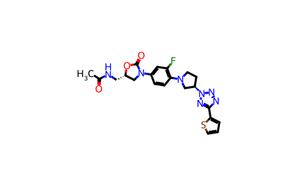 CC(=O)NC[C@H]1CN(c2ccc(N3CC[C@@H](n4nnc(-c5cccs5)n4)C3)c(F)c2)C(=O)O1